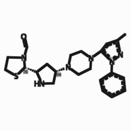 Cc1cc(N2CCN([C@@H]3CNC([C@@H]4SCCN4C=O)C3)CC2)n(-c2ccccc2)n1